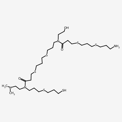 CN(C)CCN(CCCSCCCS)C(=O)CCSCCCSCCCN(CCO)C(=O)CCSCCCSCCCN